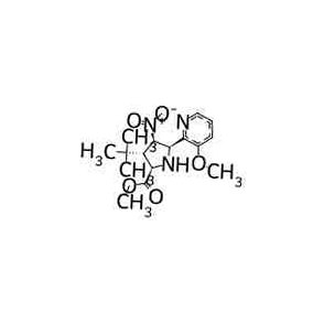 COC(=O)[C@@H]1N[C@H](c2ncccc2OC)[C@H]([N+](=O)[O-])[C@H]1C(C)(C)C